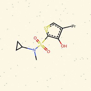 CC(C)c1csc(S(=O)(=O)N(C)C2CC2)c1O